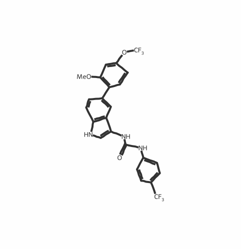 COc1cc(OC(F)(F)F)ccc1-c1ccc2[nH]cc(NC(=O)Nc3ccc(C(F)(F)F)cc3)c2c1